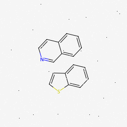 c1ccc2cnccc2c1.c1ccc2sccc2c1